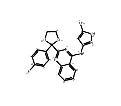 Cc1cc(Nc2nc(C3(c4ccc(F)cc4)OCCO3)nc3ccccc23)n[nH]1